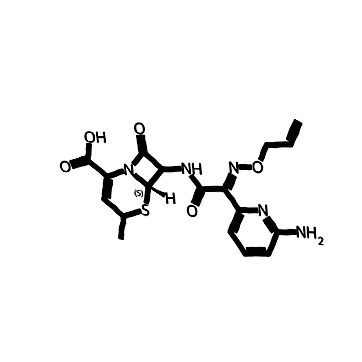 C=CCON=C(C(=O)NC1C(=O)N2C(C(=O)O)=CC(C)S[C@@H]12)c1cccc(N)n1